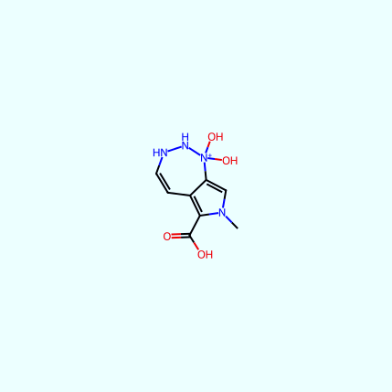 Cn1cc2c(c1C(=O)O)C=CNN[N+]2(O)O